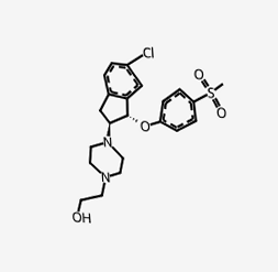 CS(=O)(=O)c1ccc(O[C@H]2c3cc(Cl)ccc3C[C@@H]2N2CCN(CCO)CC2)cc1